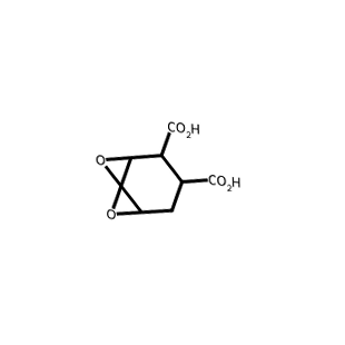 O=C(O)C1CC2OC23OC3C1C(=O)O